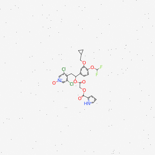 O=C(COC(=O)c1ccc[nH]1)OC(Cc1c(Cl)c[n+]([O-])cc1Cl)c1ccc(OC(F)F)c(OCC2CC2)c1